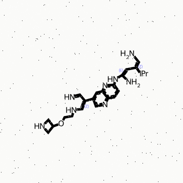 CC(C)C(=C/N)/C=C(\N)Nc1ccc2ncc(/C(C=N)=C/NCCOC3CNC3)cc2n1